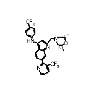 C[C@H]1CN(Cc2cc(Nc3ccc(C(F)(F)F)cc3)c3ccc(-c4ncccc4C(F)(F)F)cc3n2)C[C@H](C)O1